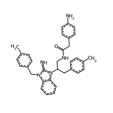 Cc1ccc(CC(CNC(=O)Cc2ccc(N)cc2)n2c(=N)n(Cc3ccc(C)cc3)c3ccccc32)cc1